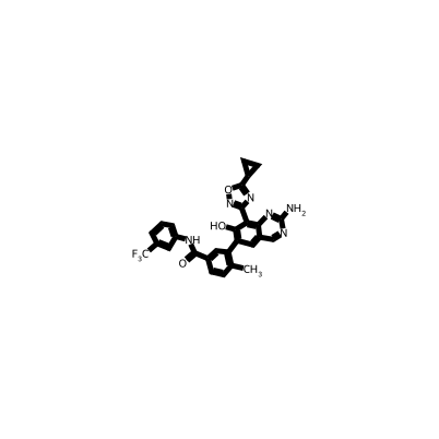 Cc1ccc(C(=O)Nc2cccc(C(F)(F)F)c2)cc1-c1cc2cnc(N)nc2c(-c2noc(C3CC3)n2)c1O